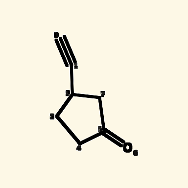 C#CC1CCC(=O)C1